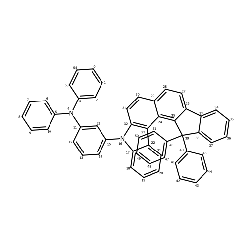 c1ccc(N(c2ccccc2)c2cccc(-n3c4ccccc4c4c5c6c(ccc5ccc43)-c3ccccc3C6(c3ccccc3)c3ccccc3)c2)cc1